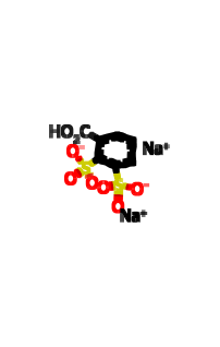 O=C(O)c1cccc(S(=O)(=O)[O-])c1S(=O)(=O)[O-].[Na+].[Na+]